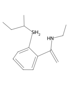 C=C(NCC)c1ccccc1[SiH2]C(C)CC